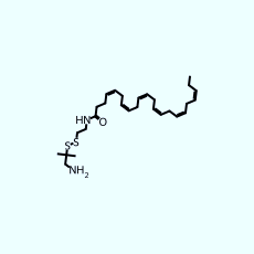 CC/C=C\C/C=C\C/C=C\C/C=C\C/C=C\C/C=C\CCC(=O)NCCSSC(C)(C)CN